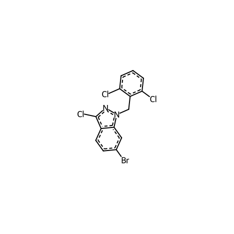 Clc1cccc(Cl)c1Cn1nc(Cl)c2ccc(Br)cc21